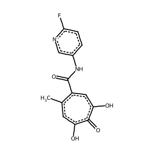 Cc1cc(O)c(=O)c(O)cc1C(=O)Nc1ccc(F)nc1